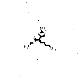 CCCC/C=C(/C(=O)OCC)c1csc(N)n1